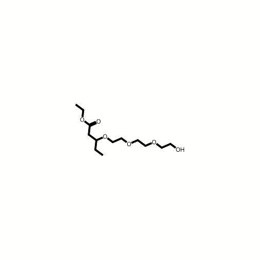 CCOC(=O)CC(CC)OCCOCCOCCO